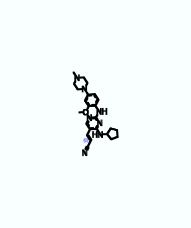 COc1cc(N2CCN(C)CC2)ccc1Nc1ncc(/C=C/C#N)c(NC2CCCC2)n1